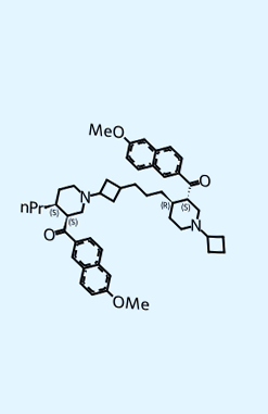 CCC[C@H]1CCN(C2CC(CCC[C@@H]3CCN(C4CCC4)C[C@H]3C(=O)c3ccc4cc(OC)ccc4c3)C2)C[C@H]1C(=O)c1ccc2cc(OC)ccc2c1